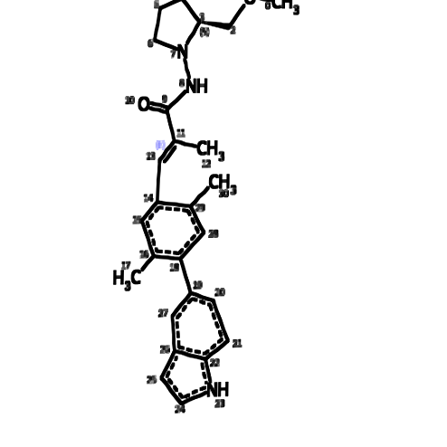 COC[C@@H]1CCCN1NC(=O)/C(C)=C/c1cc(C)c(-c2ccc3[nH]ccc3c2)cc1C